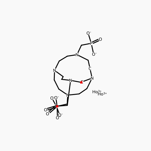 O=P([O-])([O-])CN1CCN2CCN(CP(=O)([O-])[O-])CCN(CC1)CCN(CP(=O)([O-])[O-])CC2.[Ho+3].[Ho+3]